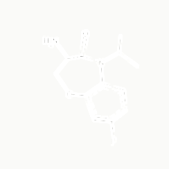 CC(C)N1C(=O)C(N)COc2cc(F)ccc21